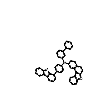 c1ccc(-c2cccc(N(c3ccc(-c4cccc5c4sc4ccccc45)cc3)c3ccc4ccc5oc6ccccc6c5c4c3)c2)cc1